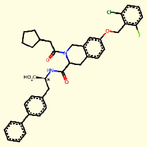 O=C(N[C@@H](Cc1ccc(-c2ccccc2)cc1)C(=O)O)C1Cc2ccc(OCc3c(F)cccc3Cl)cc2CN1C(=O)CC1CCCC1